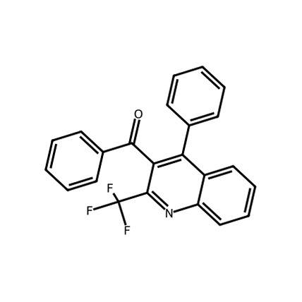 O=C(c1ccccc1)c1c(C(F)(F)F)nc2ccccc2c1-c1ccccc1